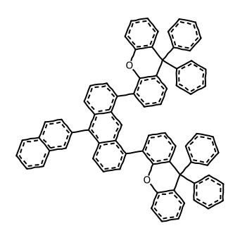 c1ccc(C2(c3ccccc3)c3ccccc3Oc3c(-c4cccc5c(-c6ccc7ccccc7c6)c6cccc(-c7cccc8c7Oc7ccccc7C8(c7ccccc7)c7ccccc7)c6cc45)cccc32)cc1